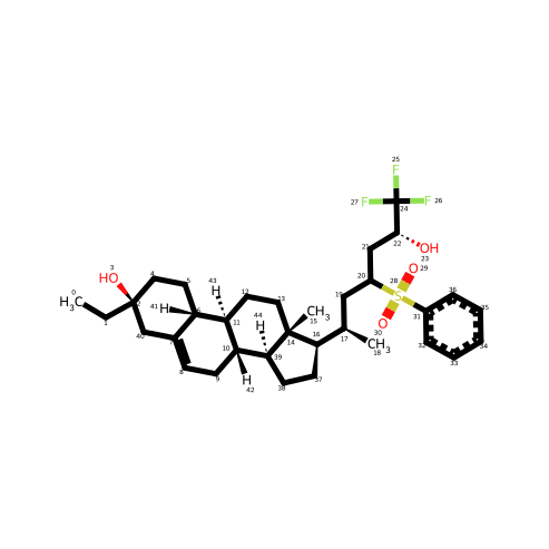 CC[C@]1(O)CC[C@H]2C(=CC[C@@H]3[C@@H]2CC[C@]2(C)[C@@H]([C@H](C)CC(C[C@@H](O)C(F)(F)F)S(=O)(=O)c4ccccc4)CC[C@@H]32)C1